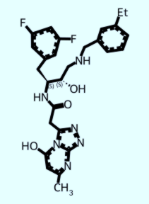 CCc1cccc(CNC[C@H](O)[C@H](Cc2cc(F)cc(F)c2)NC(=O)Cc2nnc3nc(C)cc(O)n23)c1